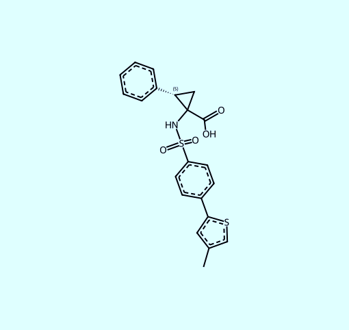 Cc1csc(-c2ccc(S(=O)(=O)NC3(C(=O)O)C[C@H]3c3ccccc3)cc2)c1